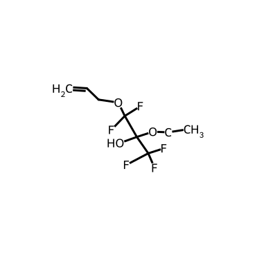 C=CCOC(F)(F)C(O)(OCC)C(F)(F)F